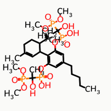 C=C(C)C1CCC(C)=CC1c1c(OP(=O)(O)C(C)(O)P(=O)(OC)OC)cc(CCCCC)cc1OP(=O)(O)C(C)(O)P(=O)(OC)OC